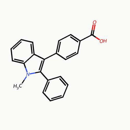 Cn1c(-c2ccccc2)c(-c2ccc(C(=O)O)cc2)c2ccccc21